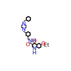 CCOc1ccc2[nH]cc(C(=O)NCc3cccc(CN4CCN(Cc5ccccc5)CC4)c3)c(=O)c2c1